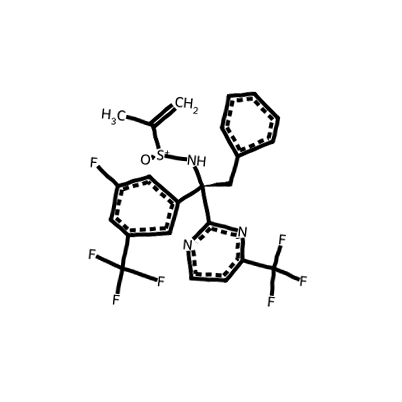 C=C(C)[S@@+]([O-])N[C@@](Cc1ccccc1)(c1cc(F)cc(C(F)(F)F)c1)c1nccc(C(F)(F)F)n1